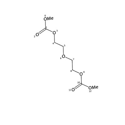 COC(=O)OCCOCCOC(=O)OC